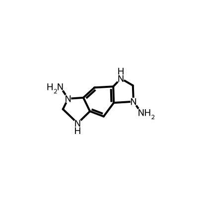 NN1CNc2cc3c(cc21)NCN3N